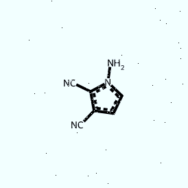 N#Cc1ccn(N)c1[14C]#N